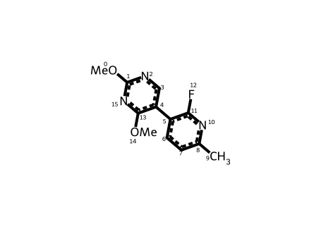 COc1ncc(-c2ccc(C)nc2F)c(OC)n1